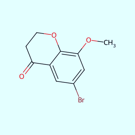 COc1cc(Br)cc2c1OCCC2=O